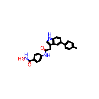 Cc1ccc(-c2ccc3[nH]cc(CC(=O)Nc4ccc(C(=O)NO)cc4)c3c2)cc1